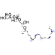 CC/C=C\C/C=C\C/C=C\C/C=C\C/C=C\CCCC(=O)OC[C@@H](O)COP(=O)(O)OC[C@@H](O)CO